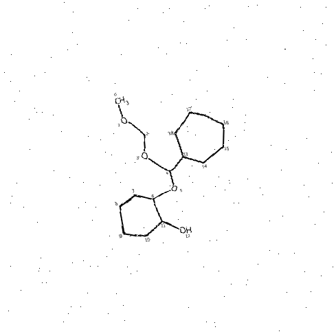 COCOC(OC1CCCCC1O)C1CCCCC1